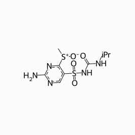 CC(C)NC(=O)NS(=O)(=O)c1cnc(N)nc1[S+](C)[O-]